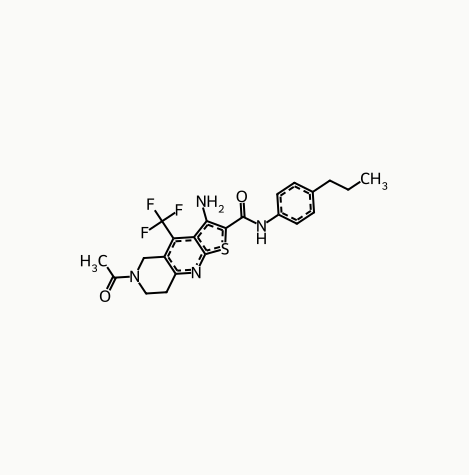 CCCc1ccc(NC(=O)c2sc3nc4c(c(C(F)(F)F)c3c2N)CN(C(C)=O)CC4)cc1